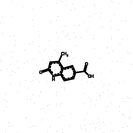 Cc1cc(=O)[nH]c2ccc(C(=O)O)cc12